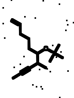 C=CCCCC(O[Si](C)(C)C)C(C)C#CC